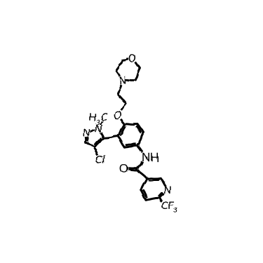 Cn1ncc(Cl)c1-c1cc(NC(=O)c2ccc(C(F)(F)F)nc2)ccc1OCCN1CCOCC1